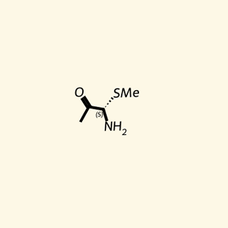 CS[C@H](N)C(C)=O